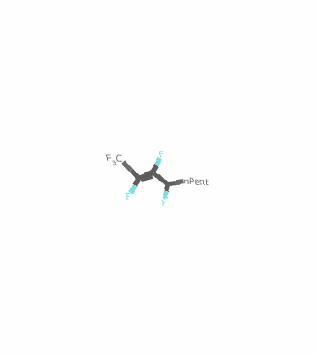 CCCCCC(F)C(F)=C(F)C(F)(F)F